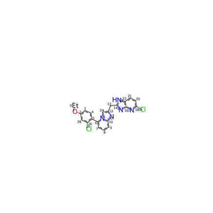 CCOc1ccc(-c2cccc3nc(Cc4nc5nc(Cl)ccc5[nH]4)cn23)c(Cl)c1